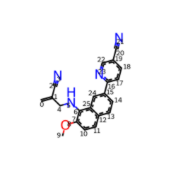 C=C(C#N)CNc1c(OC)ccc2ccc(-c3ccc(C#N)cn3)cc12